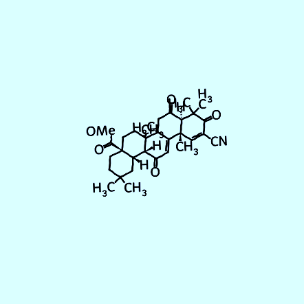 COC(=O)[C@]12CCC(C)(C)C[C@H]1[C@H]1C(=O)C=C3[C@@]4(C)C=C(C#N)C(=O)C(C)(C)[C@@H]4C(=O)C[C@@]3(C)[C@]1(C)CC2